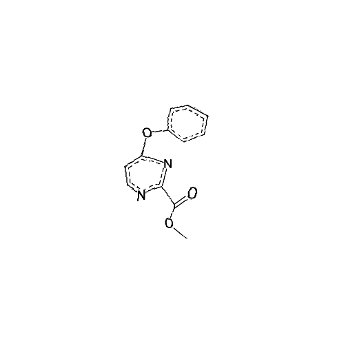 COC(=O)c1nccc(Oc2ccccc2)n1